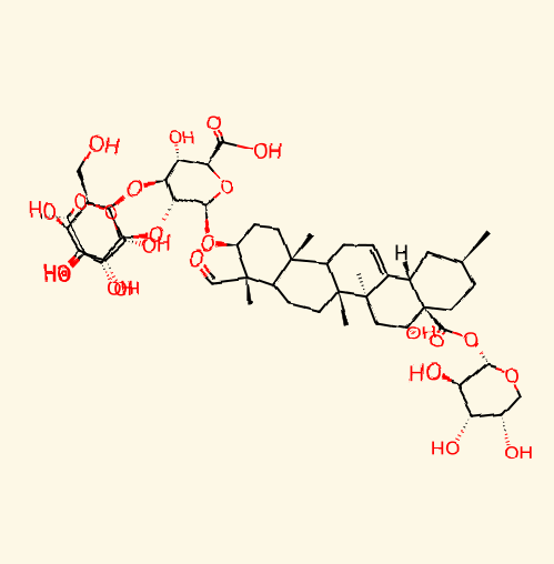 C[C@H]1CC[C@]2(C(=O)O[C@@H]3OC[C@H](O)[C@H](O)[C@H]3O)[C@H](O)C[C@]3(C)C(=CCC4[C@@]5(C)CC[C@H](O[C@@H]6O[C@H](C(=O)O)[C@@H](O)[C@H](O[C@@H]7O[C@@H](C)[C@H](O)[C@@H](O)[C@H]7O)[C@H]6O[C@@H]6O[C@H](CO)[C@H](O)[C@H](O)[C@H]6O)[C@@](C)(C=O)C5CC[C@]43C)[C@@H]2C1